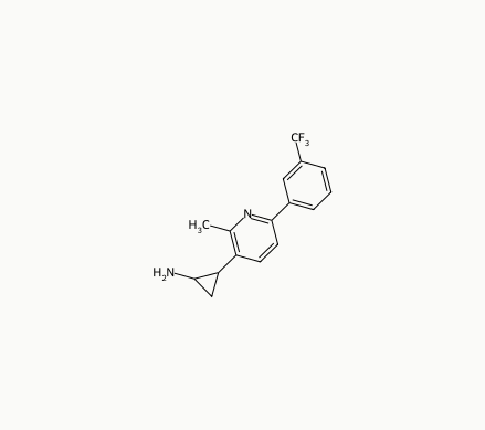 Cc1nc(-c2cccc(C(F)(F)F)c2)ccc1C1CC1N